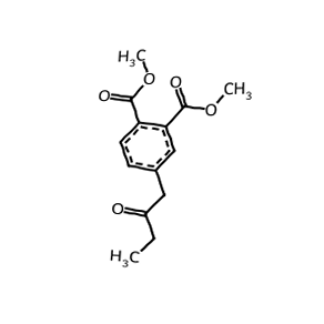 CCC(=O)Cc1ccc(C(=O)OC)c(C(=O)OC)c1